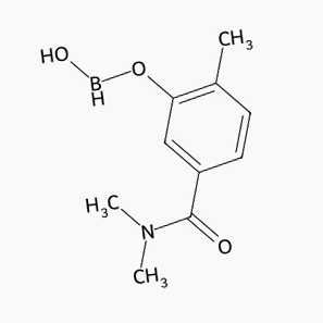 Cc1ccc(C(=O)N(C)C)cc1OBO